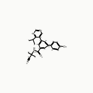 CC(C)c1ncncc1-c1cc(C(=O)NC(C)(C)C#N)cc(-c2ccc(Cl)cc2)c1